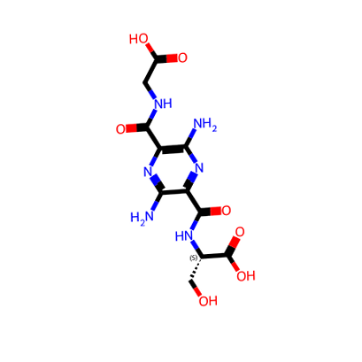 Nc1nc(C(=O)N[C@@H](CO)C(=O)O)c(N)nc1C(=O)NCC(=O)O